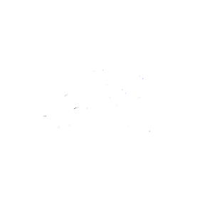 NC1=N[C@@]2(c3ccc(F)cc3F)CO[C@@H](c3ccccc3F)C[C@H]2CS1